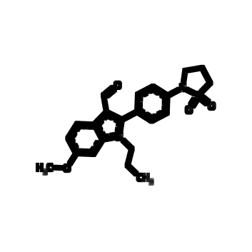 CCCn1c(-c2ccc(N3CCCS3(=O)=O)cc2)c(C=O)c2ccc(OC)cc21